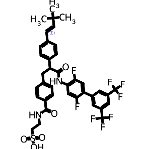 CC(C)(C)/C=C/c1ccc(C(Cc2ccc(C(=O)NCCS(=O)(=O)O)cc2)C(=O)Nc2cc(F)c(-c3cc(C(F)(F)F)cc(C(F)(F)F)c3)cc2F)cc1